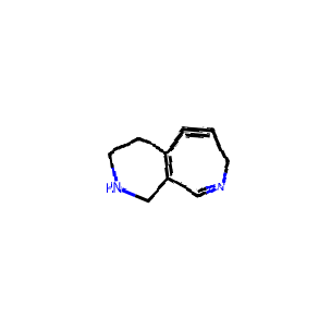 C1=CC2=C(C=NC1)CNCC2